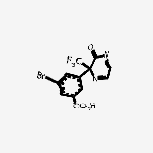 O=C(O)c1cc(Br)cc(C2(C(F)(F)F)N=CC=NC2=O)c1